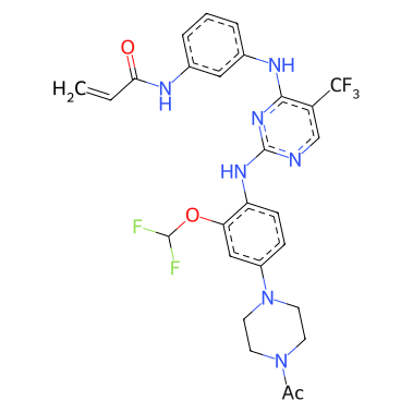 C=CC(=O)Nc1cccc(Nc2nc(Nc3ccc(N4CCN(C(C)=O)CC4)cc3OC(F)F)ncc2C(F)(F)F)c1